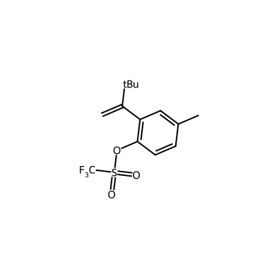 C=C(c1cc(C)ccc1OS(=O)(=O)C(F)(F)F)C(C)(C)C